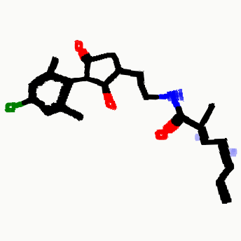 C=C/C=C\C=C(/C)C(=O)NCCC1CC(=O)C(c2c(C)cc(Cl)cc2C)C1=O